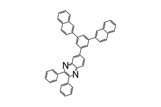 c1ccc(-c2nc3ccc(-c4cc(-c5ccc6ccccc6c5)cc(-c5ccc6ccccc6c5)c4)cc3nc2-c2ccccc2)cc1